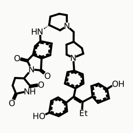 CCC(=C(c1ccc(O)cc1)c1ccc(N2CCC(CN3CCC[C@@H](Nc4ccc5c(c4)C(=O)N(C4CCC(=O)NC4=O)C5=O)C3)CC2)cc1)c1ccc(O)cc1